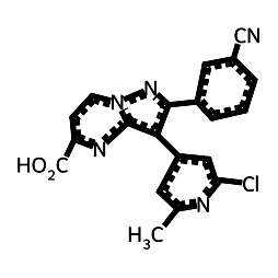 Cc1cc(-c2c(-c3cccc(C#N)c3)nn3ccc(C(=O)O)nc23)cc(Cl)n1